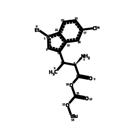 CCn1cc(C(C)[C@H](N)C(=O)OC(=O)OC(C)(C)C)c2cc(Cl)ccc21